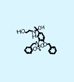 CC(O)(NCCO)c1ccc(OCc2ccccc2)c(N(Cc2ccccc2)S(C)(=O)=O)c1